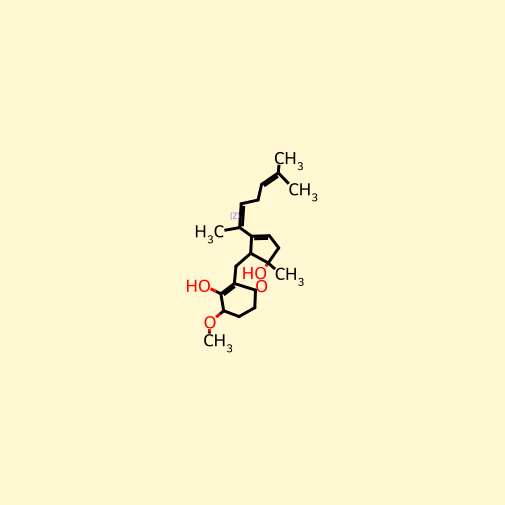 COC1CCC(=O)C(CC2C(/C(C)=C\CC=C(C)C)=CCC2(C)O)=C1O